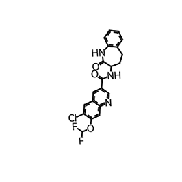 O=C(NC1CCc2ccccc2NC1=O)c1cnc2cc(OC(F)F)c(Cl)cc2c1